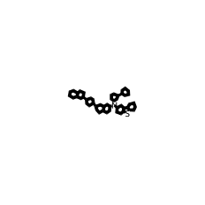 c1ccc(-c2cccc(N(c3ccc4ccc(-c5ccc(-c6ccc7ccccc7c6)cc5)cc4c3)c3ccc4sc5ccccc5c4c3)c2)cc1